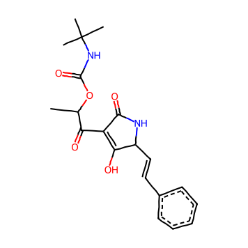 CC(OC(=O)NC(C)(C)C)C(=O)C1=C(O)C(C=Cc2ccccc2)NC1=O